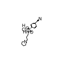 Cl.N#Cc1ccc(S(=O)(=O)NCCCN2CCCC2)cc1